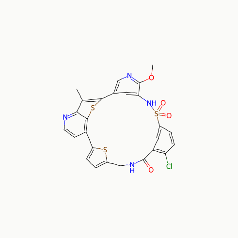 COc1ncc2cc1NS(=O)(=O)c1ccc(Cl)c(c1)C(=O)NCc1ccc(s1)-c1ccnc3c(C)c-2sc13